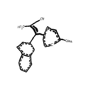 COc1ccc(C(=C(C#N)C(=O)O)c2ccc3ccccc3c2)cc1